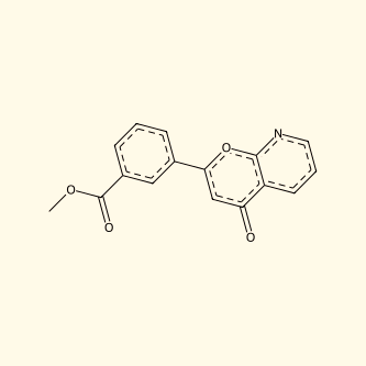 COC(=O)c1cccc(-c2cc(=O)c3cccnc3o2)c1